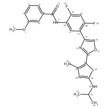 COc1cccc(C(=O)Nc2cc(-c3noc(-c4sc(NC(C)C)nc4N)n3)c(F)cc2F)c1